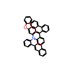 c1ccc(N(c2ccc3c(c2)oc2ccccc23)c2ccccc2-c2cc3ccccc3c3ccccc23)c(-c2ccc3ccccc3c2)c1